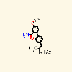 CCCOc1ccc(-c2ccc(CC(C)NC(C)=O)cc2)c(C(N)=O)c1